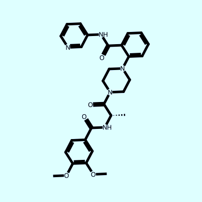 COc1ccc(C(=O)N[C@@H](C)C(=O)N2CCN(c3ccccc3C(=O)Nc3cccnc3)CC2)cc1OC